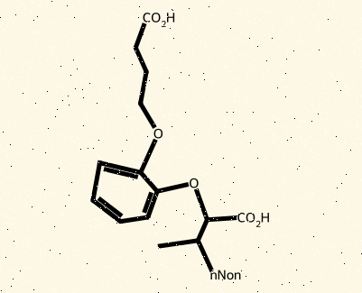 CCCCCCCCCC(C)C(Oc1ccccc1OCCCC(=O)O)C(=O)O